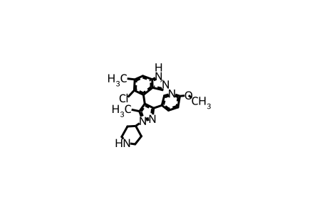 COc1ccc(-c2nn(C3CCNCC3)c(C)c2-c2c(Cl)c(C)cc3[nH]ncc23)cn1